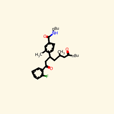 CCCCNC(=O)c1ccc(C(CC(=O)c2ccccc2F)CC(C)CC(=O)CCCC)c(C)c1